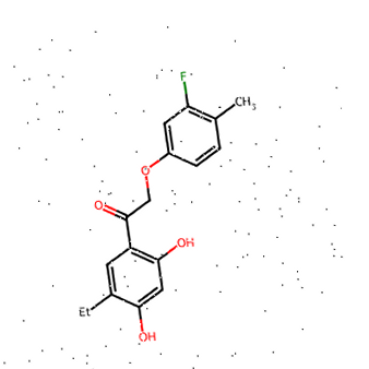 CCc1cc(C(=O)COc2ccc(C)c(F)c2)c(O)cc1O